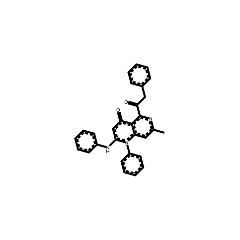 Cc1cc2c(c(C(=O)Cc3ccccc3)n1)c(=O)cc(Nc1ccccc1)n2-c1ccccc1